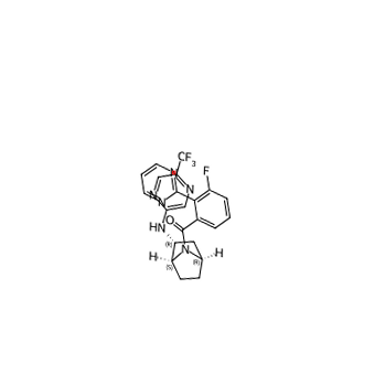 O=C(c1cccc(F)c1-c1ncccn1)N1[C@@H]2CC[C@H]1[C@H](Nc1cnc(C(F)(F)F)cn1)C2